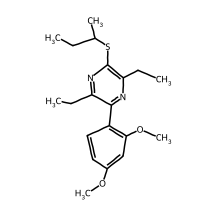 CCc1nc(-c2ccc(OC)cc2OC)c(CC)nc1SC(C)CC